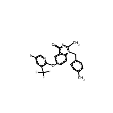 Cc1ccc(Cn2c(C)nc(=O)c3cc(Oc4ncc(I)cc4C(F)(F)F)ccc32)cc1